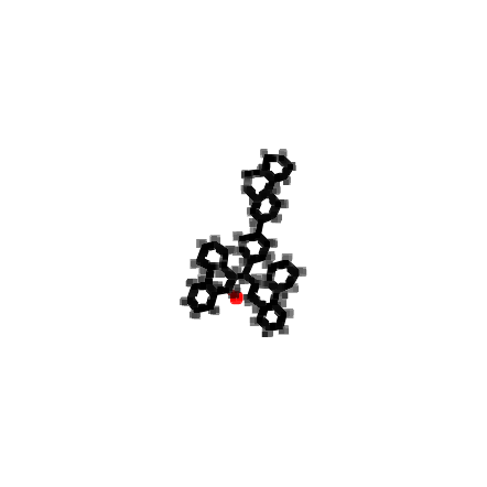 c1ccc2c(c1)ccc1cc(-c3ccc(C4c5c(c6ccccc6c6ccccc56)Oc5c4c4ccccc4c4ccccc54)cc3)ccc12